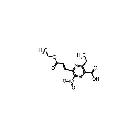 CCOC(=O)C=Cc1nc(CC)c(C(=O)O)cc1[N+](=O)[O-]